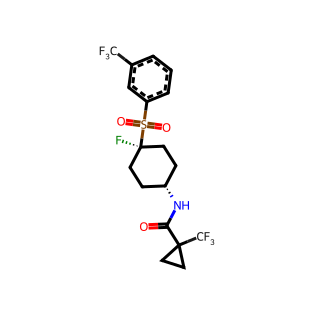 O=C(N[C@H]1CC[C@](F)(S(=O)(=O)c2cccc(C(F)(F)F)c2)CC1)C1(C(F)(F)F)CC1